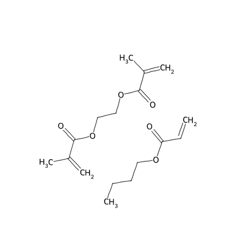 C=C(C)C(=O)OCCOC(=O)C(=C)C.C=CC(=O)OCCCC